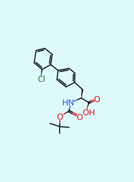 CC(C)(C)OC(=O)N[C@@H](Cc1ccc(-c2ccccc2Cl)cc1)C(=O)O